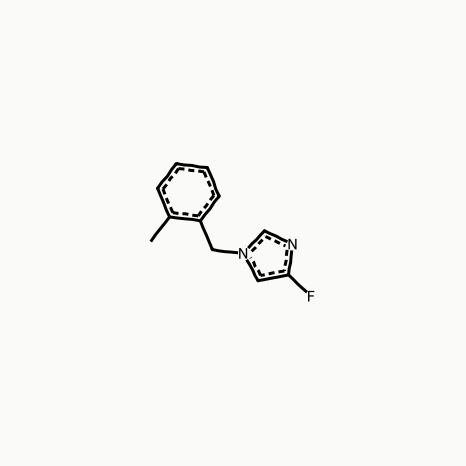 Cc1ccccc1Cn1cnc(F)c1